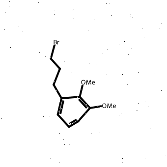 COc1cccc(CCCBr)c1OC